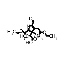 CCOC(=O)CC1=C(C=O)N=C(C(=O)OCC)C1(CC)C(C)C(=O)O